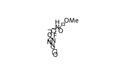 COC1CC(C(=O)Nc2cc(C)c(Oc3cnc(N4CC5(CCOCC5)C4)nc3)c(F)c2)C1